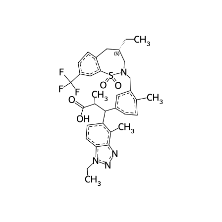 CC[C@H]1Cc2ccc(C(F)(F)F)cc2S(=O)(=O)N(Cc2cc(C(c3ccc4c(nnn4CC)c3C)C(C)C(=O)O)ccc2C)C1